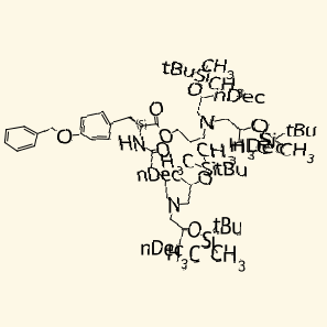 CCCCCCCCCCC(CN(CCCOC(=O)[C@H](Cc1ccc(OCc2ccccc2)cc1)NC(=O)CCCN(CC(CCCCCCCCCC)O[Si](C)(C)C(C)(C)C)CC(CCCCCCCCCC)O[Si](C)(C)C(C)(C)C)CC(CCCCCCCCCC)O[Si](C)(C)C(C)(C)C)O[Si](C)(C)C(C)(C)C